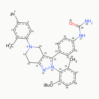 Cc1cc(C(C)C)ccc1N1CCc2nn(-c3c(C)cccc3OCC(C)C)c(-c3ccc(NC(N)=O)cc3)c2C1